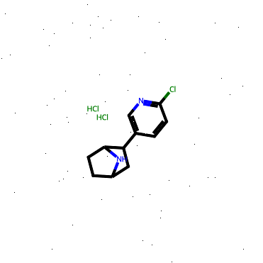 Cl.Cl.Clc1ccc(C2CC3CCC2N3)cn1